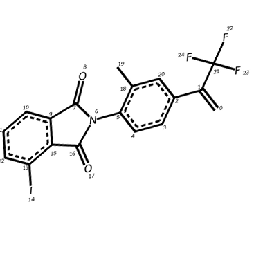 C=C(c1ccc(N2C(=O)c3cccc(I)c3C2=O)c(C)c1)C(F)(F)F